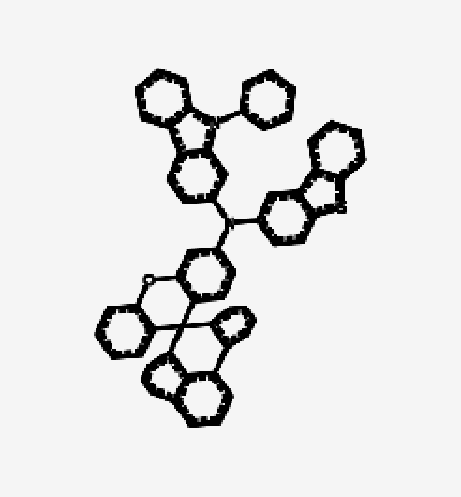 c1ccc(-n2c3ccccc3c3ccc(N(c4ccc5c(c4)Oc4ccccc4C54c5ccccc5-c5cccc6cccc4c56)c4ccc5sc6ccccc6c5c4)cc32)cc1